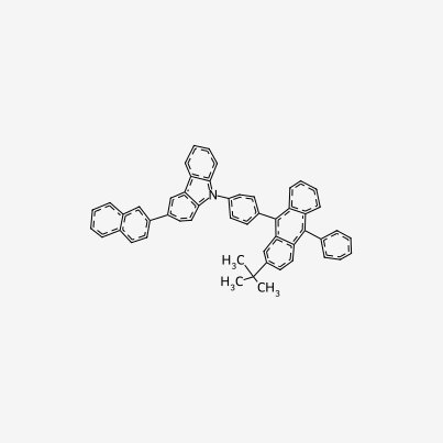 CC(C)(C)c1ccc2c(-c3ccccc3)c3ccccc3c(-c3ccc(-n4c5ccccc5c5cc(-c6ccc7ccccc7c6)ccc54)cc3)c2c1